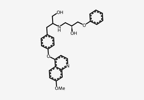 COc1ccc2c(Oc3ccc(CC(CO)NC[C@H](O)COc4ccccc4)cc3)ccnc2c1